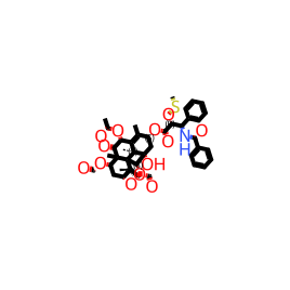 CSO[C@@H](C(=O)O[C@H]1CC2(O)[C@@H](OC=O)C34C(C)(C(=O)C(OC(C)=O)C(=C1C)[C@@]23C)C(OC=O)CC1OC[C@]14C)C(NC(=O)c1ccccc1)c1ccccc1